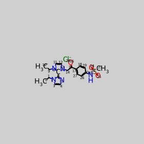 CCn1ccnc1-[c+]1n(CC)ccn1CC(=O)c1ccc(NS(C)(=O)=O)cc1.[Cl-]